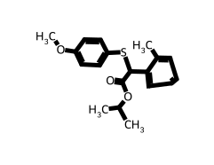 COc1ccc(SC(C(=O)OC(C)C)c2ccccc2C)cc1